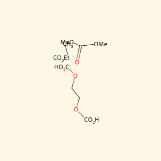 CCOC(C)=O.COC(=O)OC.O=C(O)OCCOC(=O)O